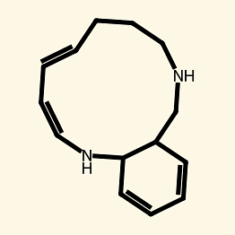 C1=CC2CNCCC/C=C/C=C\NC2C=C1